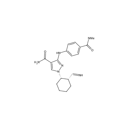 CNC(=O)c1ccc(Nc2nn([C@H]3CCCC[C@H]3C=N)cc2C(N)=O)cc1